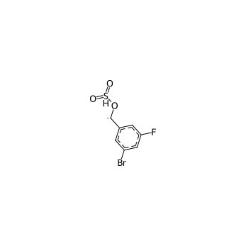 O=[SH](=O)O[CH]c1cc(F)cc(Br)c1